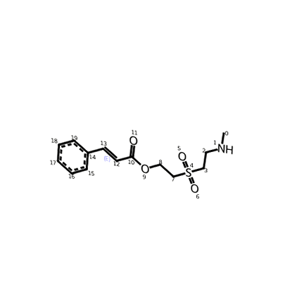 CNCCS(=O)(=O)CCOC(=O)/C=C/c1ccccc1